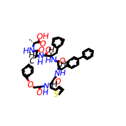 C[C@@H](NC(=O)[C@@H]1Cc2ccc(cc2)OCC(=O)N[C@@H](Cc2cccs2)C(=O)N[C@@H](Cc2ccc(-c3ccccc3)cc2)C(=O)N[C@@H](Cc2ccccc2)C(=O)N1)C(=O)O